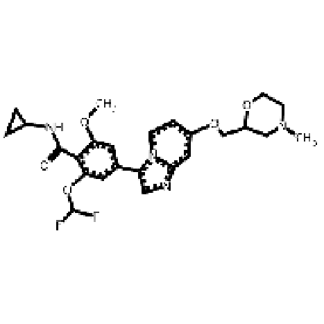 COc1cc(-c2cnc3cc(OCC4CN(C)CCO4)ccn23)cc(OC(F)F)c1C(=O)NC1CC1